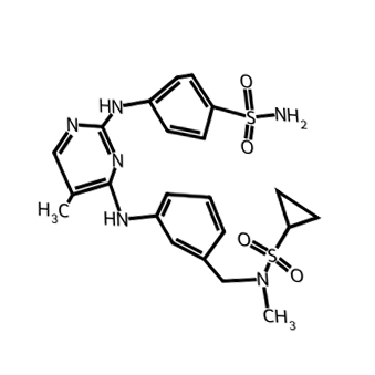 Cc1cnc(Nc2ccc(S(N)(=O)=O)cc2)nc1Nc1cccc(CN(C)S(=O)(=O)C2CC2)c1